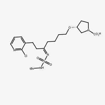 CC(C)(C)NS(=O)(=O)/N=C(/CCCCO[C@@H]1CCN(C(=O)O)C1)CCc1cccnc1Cl